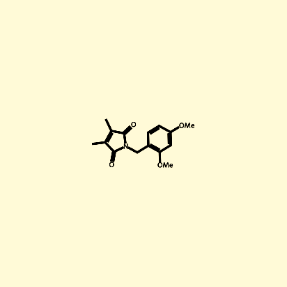 COc1ccc(CN2C(=O)C(C)=C(C)C2=O)c(OC)c1